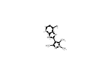 Cc1nn(C)c(C)c1-c1nc2c(Br)ccnc2[nH]1